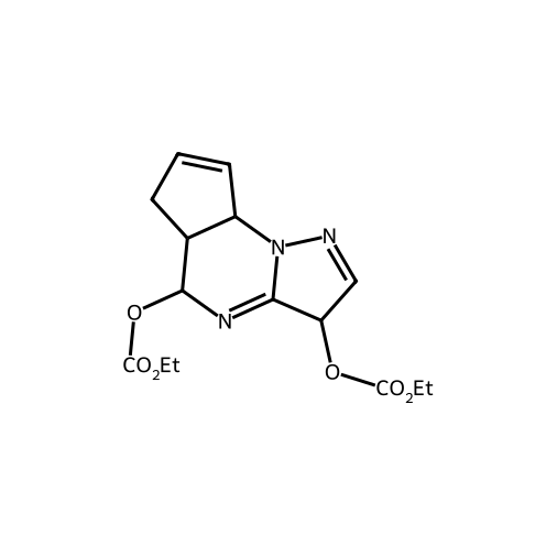 CCOC(=O)OC1C=NN2C1=NC(OC(=O)OCC)C1CC=CC12